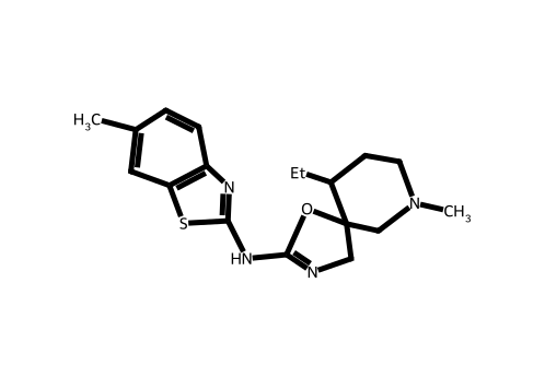 CCC1CCN(C)CC12CN=C(Nc1nc3ccc(C)cc3s1)O2